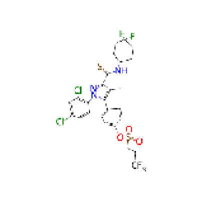 Cc1c(C(=S)NC2CCC(F)(F)CC2)nn(-c2ccc(Cl)cc2Cl)c1-c1ccc(OS(=O)(=O)CCC(F)(F)F)cc1